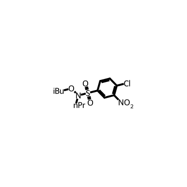 CCCN(OC(C)CC)S(=O)(=O)c1ccc(Cl)c([N+](=O)[O-])c1